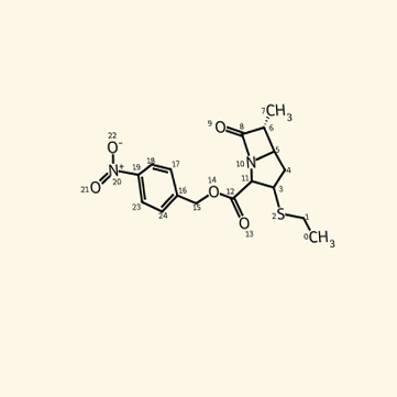 CCSC1CC2[C@@H](C)C(=O)N2C1C(=O)OCc1ccc([N+](=O)[O-])cc1